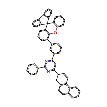 C1=CC(c2cc(-c3cccc(-c4cccc5c4Oc4ccccc4C54c5ccccc5-c5ccccc54)c3)nc(-c3ccccc3)n2)Cc2ccc3ccccc3c21